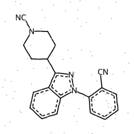 N#Cc1ccccc1-n1nc(C2CCN(C#N)CC2)c2ccccc21